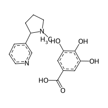 CN1CCCC1c1cccnc1.O=C(O)c1cc(O)c(O)c(O)c1